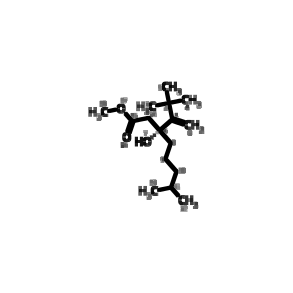 C=C(C(C)(C)C)[C@@](O)(CCCC(C)C)CC(=O)OC